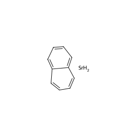 [SrH2].c1ccc2ccccc2c1